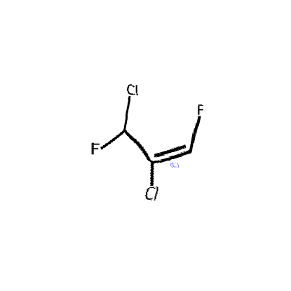 F/C=C(/Cl)C(F)Cl